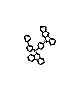 c1ccc(-c2cccc(N(c3ccc(-n4c5ccccc5c5cc6ccccc6cc54)cc3)c3cc4ccccc4c4ccccc34)c2)cc1